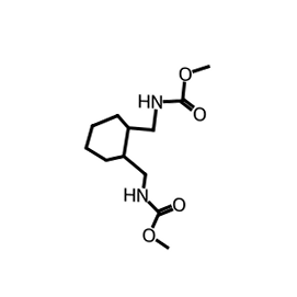 COC(=O)NCC1CCCCC1CNC(=O)OC